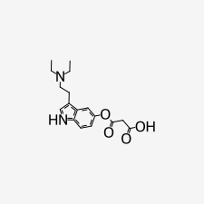 CCN(CC)CCc1c[nH]c2ccc(OC(=O)CC(=O)O)cc12